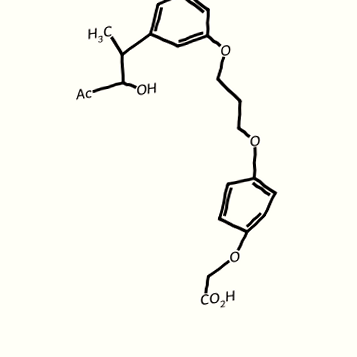 CC(=O)C(O)C(C)c1cccc(OCCCOc2ccc(OCC(=O)O)cc2)c1